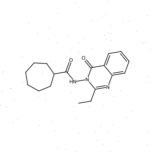 CCc1nc2ccccc2c(=O)n1NC(=O)C1CCCCCC1